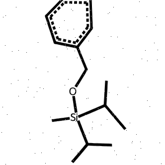 CC(C)[Si](C)(OCc1ccccc1)C(C)C